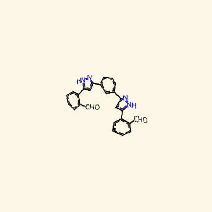 O=Cc1ccccc1-c1cc(-c2cccc(-c3cc(-c4ccccc4C=O)[nH]n3)c2)n[nH]1